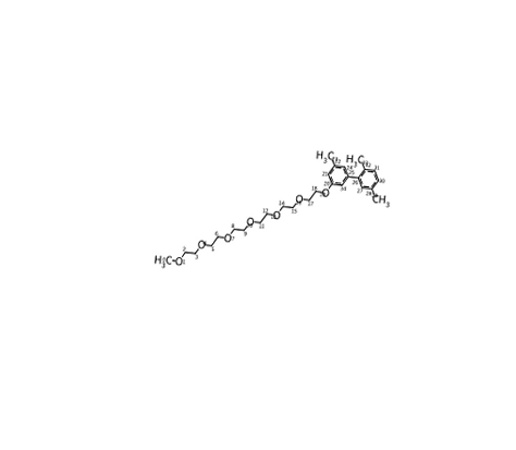 COCCOCCOCCOCCOCCOCCOc1cc(C)cc(-c2cc(C)ccc2C)c1